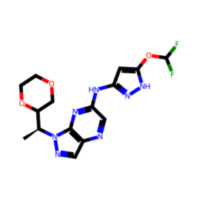 C[C@@H](C1COCCO1)n1ncc2ncc(Nc3cc(OC(F)F)[nH]n3)nc21